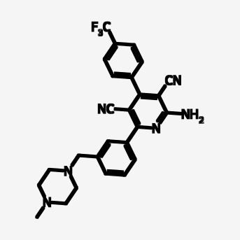 CN1CCN(Cc2cccc(-c3nc(N)c(C#N)c(-c4ccc(C(F)(F)F)cc4)c3C#N)c2)CC1